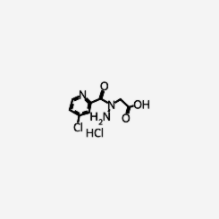 Cl.NN(CC(=O)O)C(=O)c1cc(Cl)ccn1